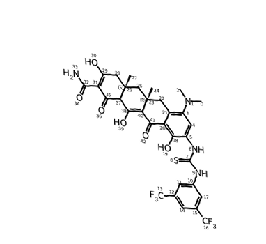 CN(C)c1cc(NC(=S)Nc2cc(C(F)(F)F)cc(C(F)(F)F)c2)c(O)c2c1C[C@@]1(C)C[C@@]3(C)CC(O)=C(C(N)=O)C(=O)C3C(O)=C1C2=O